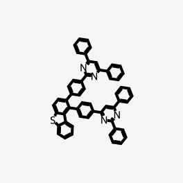 c1ccc(-c2cc(-c3ccc(-c4c(-c5ccc(-c6nc(-c7ccccc7)cc(-c7ccccc7)n6)cc5)ccc5sc6ccccc6c45)cc3)nc(-c3ccccc3)n2)cc1